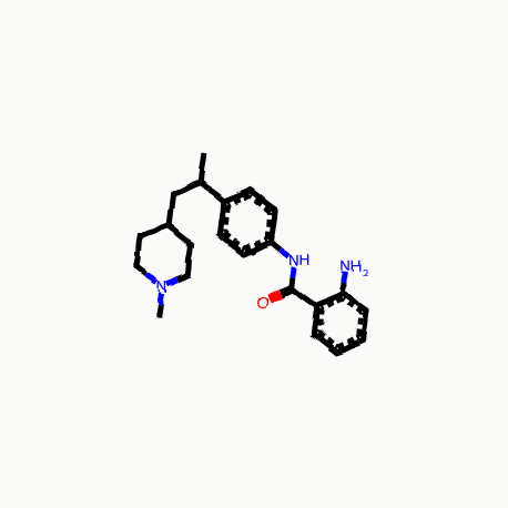 CC(CC1CCN(C)CC1)c1ccc(NC(=O)c2ccccc2N)cc1